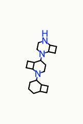 C1CC2CCC2C(N2CCC(N3CCNC4CCC43)C3CCC32)C1